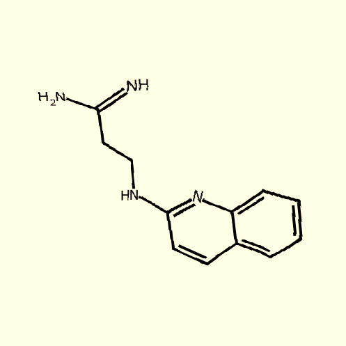 N=C(N)CCNc1ccc2ccccc2n1